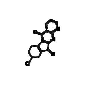 O=C1C2=C(CCC(Cl)=C2)n2c1nc1ncccc1c2=O